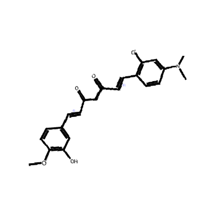 COc1ccc(/C=C/C(=O)CC(=O)/C=C/c2ccc(N(C)C)cc2Cl)cc1O